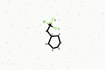 FC(F)(F)CC1C[CH]CCC1